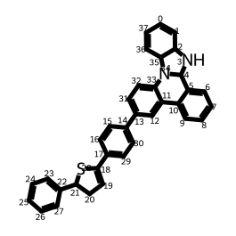 C1=CC2NC3c4ccccc4-c4cc(-c5ccc(C6=CCC(c7ccccc7)S6)cc5)ccc4N3C2C=C1